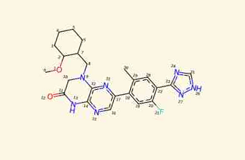 COC1CCCCC1CN1CC(=O)Nc2ncc(-c3cc(F)c(-c4nc[nH]n4)cc3C)nc21